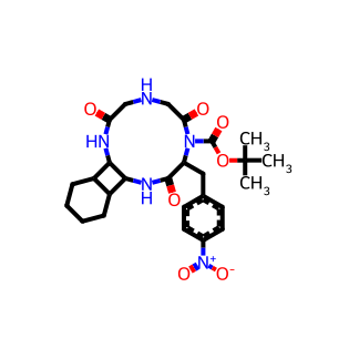 CC(C)(C)OC(=O)N1C(=O)CNCC(=O)NC2C3CCCCC3C2NC(=O)C1Cc1ccc([N+](=O)[O-])cc1